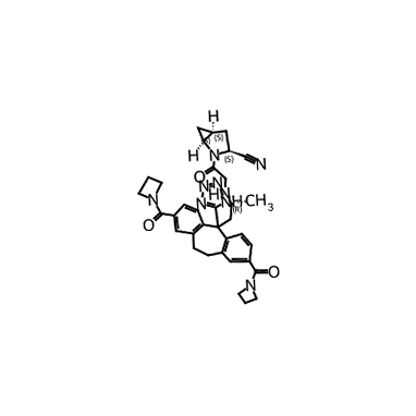 C[C@H](CC1(c2nnn[nH]2)c2ccc(C(=O)N3CCC3)cc2CCc2cc(C(=O)N3CCC3)ccc21)NCC(=O)N1[C@H](C#N)C[C@@H]2C[C@@H]21